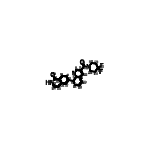 O=C(c1cnc2c(-c3ccc4c(=O)[nH]ccc4c3)cccc2c1)N1CCC(F)(F)CC1